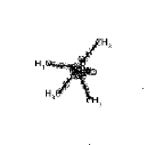 CCCCCCCCCCCC(=O)OC[C@H]1O[C@H](SC2CCC(=O)C2)[C@H](OC(=O)CCCCCCCCCCC)[C@@H](OC(=O)CCCCCCCCCCC)[C@H]1OC(=O)CCCCCCCCCCC